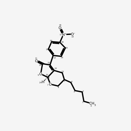 CCCCCC1CO[C@H]2OC(=O)C(c3ccc([N+](=O)[O-])cc3)=C2C1